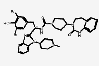 CN1CCC(n2c([C@@H](Cc3cc(Br)c(O)c(Br)c3)NC(=O)N3CCC(N4CCc5ccccc5NC4=O)CC3)nc3ccccc32)CC1